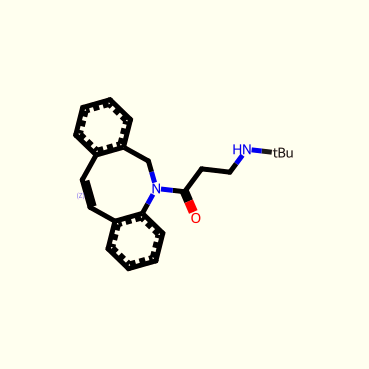 CC(C)(C)NCCC(=O)N1Cc2ccccc2/C=C\c2ccccc21